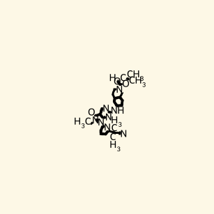 CCn1c(=O)c2cnc(Nc3ccc4c(c3)CCN(C(=O)OC(C)(C)C)C4)nc2n1-c1cccc(C(C)(C)C#N)n1